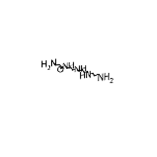 NCCCNCCCCNCCCNC(=O)CCN